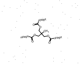 CCCCCCCC(=O)OCC(C)(COC(=O)CCCCCCC)COC(=O)CCCCCCC